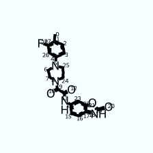 Cc1ccc(N2CCN(C(=O)C(=O)Nc3ccc4[nH]c(=O)oc4c3)CC2)cc1F